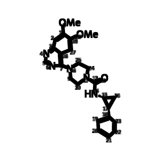 COc1cc2ncnc(N3CCN(C(=O)N[C@@H]4C[C@H]4c4ccccc4)CC3)c2cc1OC